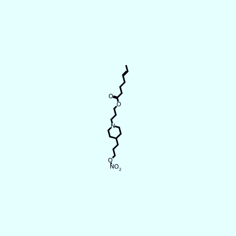 CC=CCCCC(=O)OCCCN1CCC(CCCO[N+](=O)[O-])CC1